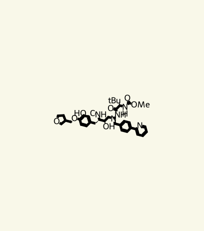 COC(=O)N[C@H](C(=O)NN(Cc1ccc(-c2ccccn2)cc1)C[C@H](O)[C@H](Cc1ccc(OCC2CCOC2)cc1)NC(=O)O)C(C)(C)C